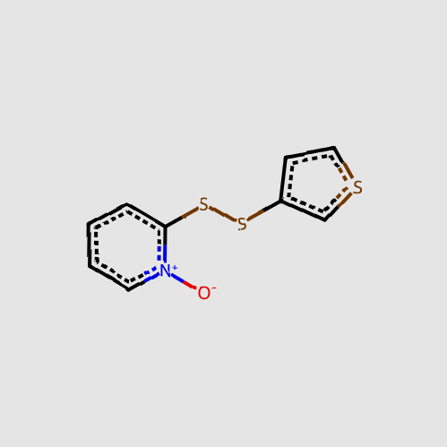 [O-][n+]1ccccc1SSc1ccsc1